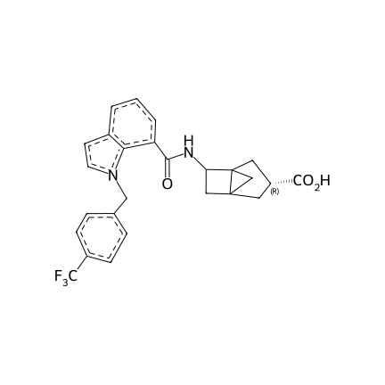 O=C(NC1CC23C[C@@H](C(=O)O)CC12C3)c1cccc2ccn(Cc3ccc(C(F)(F)F)cc3)c12